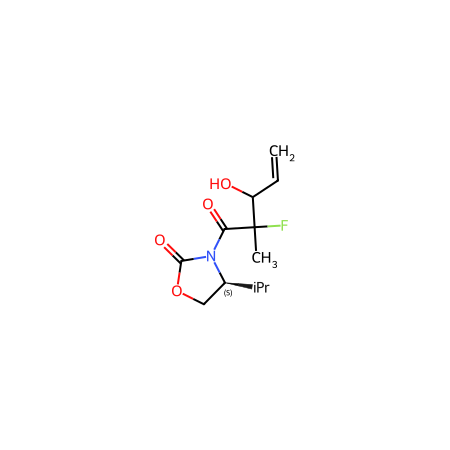 C=CC(O)C(C)(F)C(=O)N1C(=O)OC[C@@H]1C(C)C